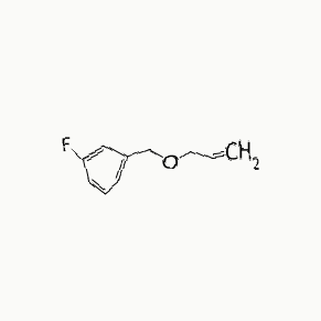 C=CCOCc1cccc(F)c1